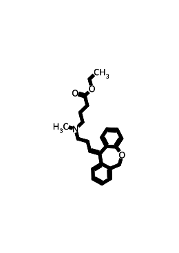 CCOC(=O)CCCN(C)CCC=C1c2ccccc2COc2ccccc21